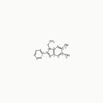 CCn1c(-c2ccccc2)cc2cc(O)c(O)cc21